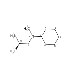 C[C@@H](N)CN(C)C1CCCCC1